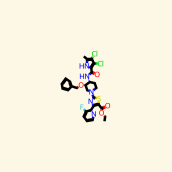 CCOC(=O)c1sc(N2CC[C@@H](NC(=O)c3[nH]c(C)c(Cl)c3Cl)[C@@H](OCc3ccccc3)C2)nc1-c1ncccc1F